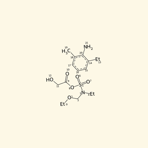 CCOCN(CC)S(=O)(=O)OC(=O)CO.CCc1cccc(C)c1N